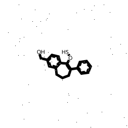 OCc1ccc2c(c1)CCCC(c1ccccc1)=C2OS